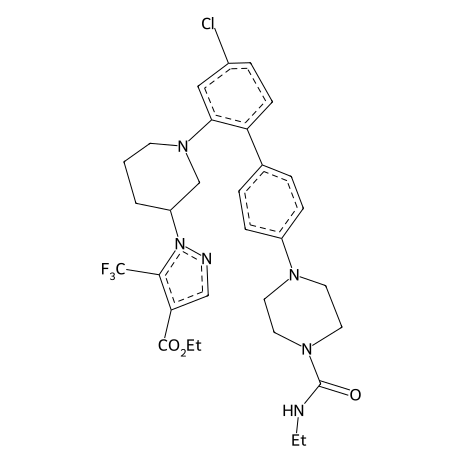 CCNC(=O)N1CCN(c2ccc(-c3ccc(Cl)cc3N3CCCC(n4ncc(C(=O)OCC)c4C(F)(F)F)C3)cc2)CC1